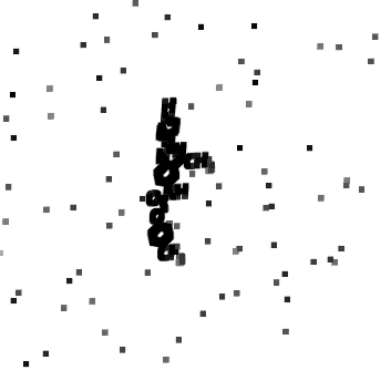 Cc1nc(N2CC3CC2CN3)nc2ccc(NC(=O)COc3ccc(C(F)(F)F)cc3)cc12